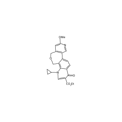 CCOC(=O)c1cn(C2CC2)c2c3c(ccc2c1=O)-c1cnc(OC)cc1COC3